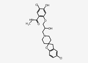 CNC(=O)c1cc(Cl)c(O)cc1OCC(O)CN1CCC2(CC1)Cc1cc(Cl)ccc1O2